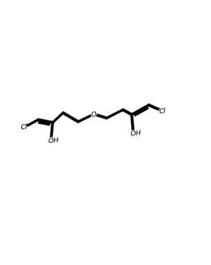 OC(=CCl)CCOCCC(O)=CCl